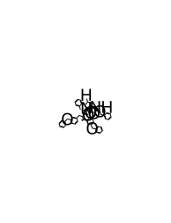 CC(C)C[C@H](NC(=O)OCc1ccccc1)C(=O)N[C@@H](Cc1ccccc1)C(=O)[C](Cc1cccc(Oc2ccccc2)c1)Cc1cccc(Oc2ccccc2)c1